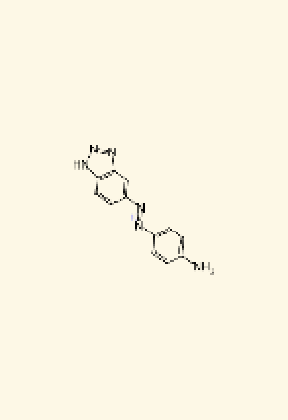 Nc1ccc(/N=N/c2ccc3[nH]nnc3c2)cc1